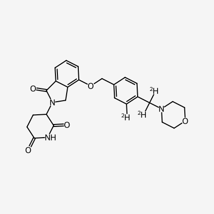 [2H]c1cc(COc2cccc3c2CN(C2CCC(=O)NC2=O)C3=O)ccc1C([2H])([2H])N1CCOCC1